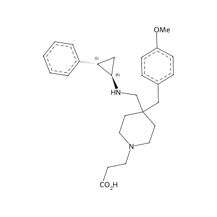 COc1ccc(CC2(CN[C@@H]3C[C@H]3c3ccccc3)CCN(CCC(=O)O)CC2)cc1